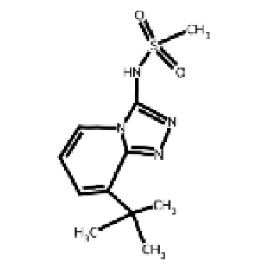 CC(C)(C)c1cccn2c(NS(C)(=O)=O)nnc12